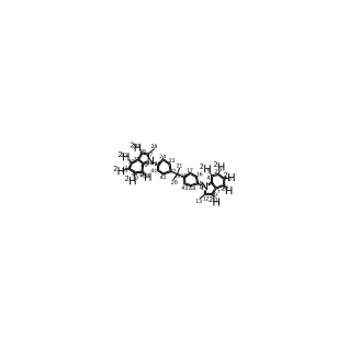 [2H]c1c([2H])c([2H])c2c(c1[2H])c([2H])c(C)n2-c1ccc(C(C)(C)c2ccc(-n3c(C)c([2H])c4c([2H])c([2H])c([2H])c([2H])c43)cc2)cc1